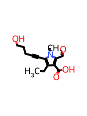 CCc1c(C(=O)O)c(C=O)n(C)c1C#CCCCO